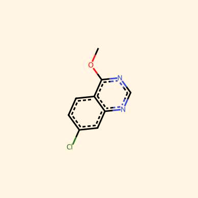 COc1ncnc2cc(Cl)ccc12